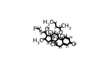 CCCC(C)OC1CC2(C)C(C(=O)SCF)[C@H](C)CC2(C)C2CCC3=CC(=O)C=CC3(C)[C@@]12F